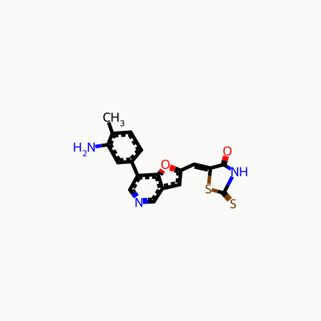 Cc1ccc(-c2cncc3cc(/C=C4\SC(=S)NC4=O)oc23)cc1N